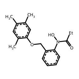 CCC(=O)N(O)c1ccccc1COc1cc(C)c(C)cc1C